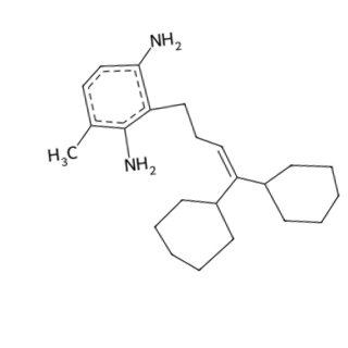 Cc1ccc(N)c(CCC=C(C2CCCCC2)C2CCCCC2)c1N